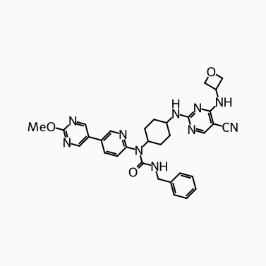 COc1ncc(-c2ccc(N(C(=O)NCc3ccccc3)C3CCC(Nc4ncc(C#N)c(NC5COC5)n4)CC3)nc2)cn1